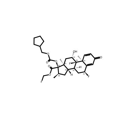 C[C@@H]1C[C@H]2[C@@H]3C[C@H](F)C4=CC(=O)C=C[C@]4(C)[C@@]3(F)[C@@H](O)C[C@]2(C)[C@@]1(OC(=O)OCC1CCCC1)C(=O)OCF